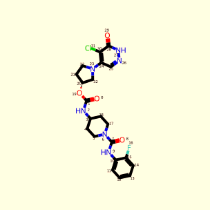 O=C(NC1CCN(C(=O)Nc2ccccc2F)CC1)O[C@@H]1CCN(c2cn[nH]c(=O)c2Cl)C1